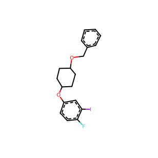 Fc1ccc(OC2CCC(OCc3ccccc3)CC2)cc1I